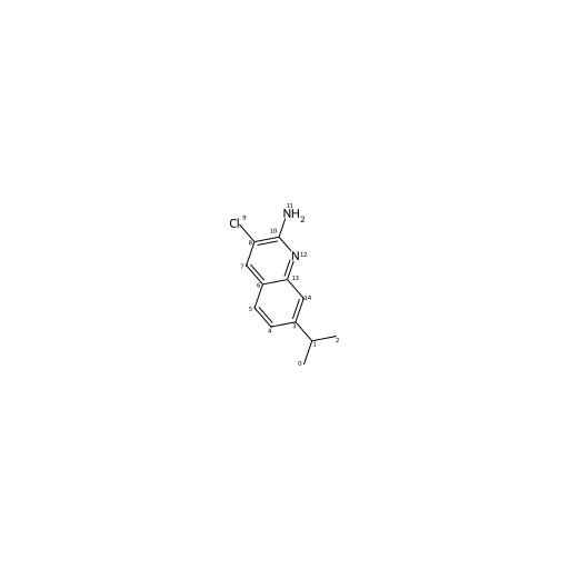 CC(C)c1ccc2cc(Cl)c(N)nc2c1